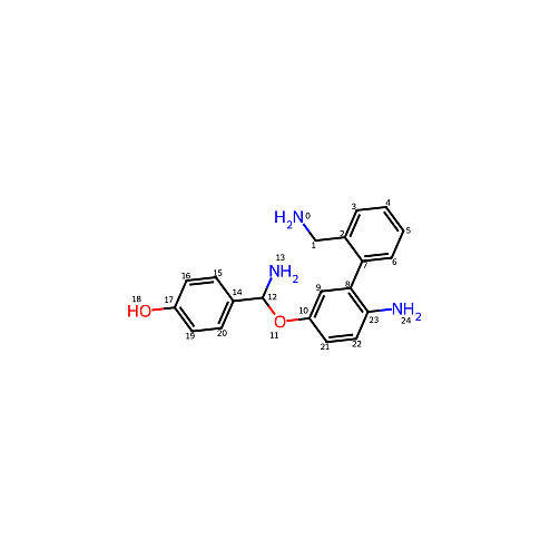 NCc1ccccc1-c1cc(OC(N)c2ccc(O)cc2)ccc1N